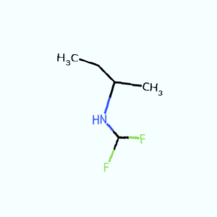 CCC(C)NC(F)F